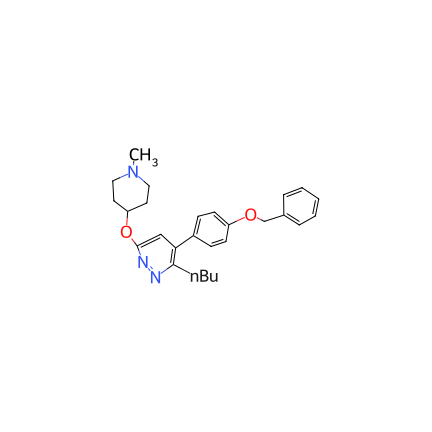 CCCCc1nnc(OC2CCN(C)CC2)cc1-c1ccc(OCc2ccccc2)cc1